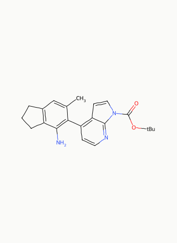 Cc1cc2c(c(N)c1-c1ccnc3c1ccn3C(=O)OC(C)(C)C)CCC2